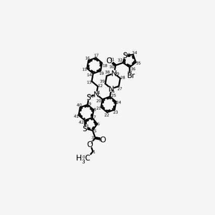 CCOC(=O)c1cc2cc(SN(CCc3ccccc3)c3ccccc3N3CCN(C(=O)c4sccc4Br)CC3)ccc2s1